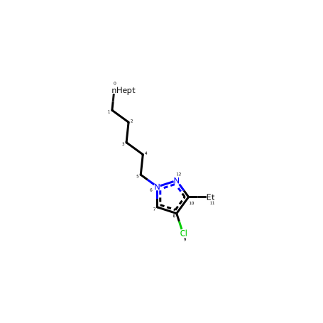 CCCCCCCCCCCCn1cc(Cl)c(CC)n1